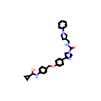 O=C(NCC1CCN(c2ccccc2)C1)n1cnc(-c2ccc(OCc3ccc(NC(O)C4CC4)cc3)cc2)c1